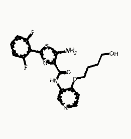 Nc1sc(-c2c(F)cccc2F)nc1C(=O)Nc1cnccc1OCCCCO